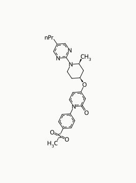 CCCc1cnc(N2CC[C@H](Oc3ccn(-c4ccc(S(C)(=O)=O)cc4)c(=O)c3)C[C@@H]2C)nc1